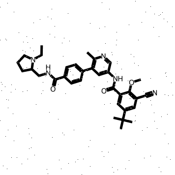 CCN1CCCC1CNC(=O)c1ccc(-c2cc(NC(=O)c3cc(C(C)(C)C)cc(C#N)c3OC)cnc2C)cc1